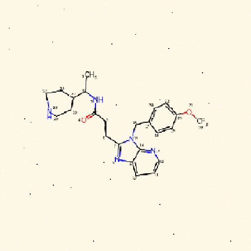 CC(NC(=O)CCc1nc2cccnc2n1Cc1ccc(OC(F)(F)F)cc1)C1CCNCC1